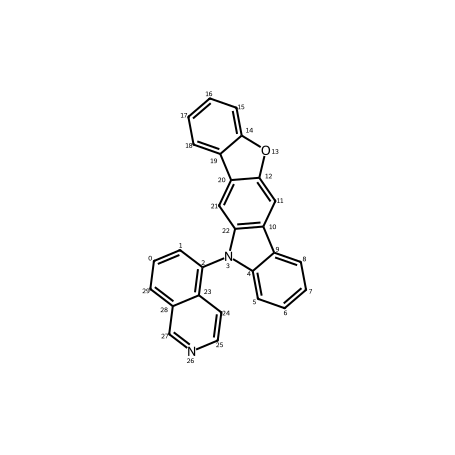 c1cc(-n2c3ccccc3c3cc4oc5ccccc5c4cc32)c2ccncc2c1